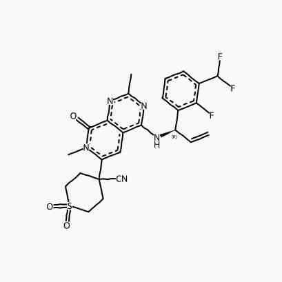 C=C[C@@H](Nc1nc(C)nc2c(=O)n(C)c(C3(C#N)CCS(=O)(=O)CC3)cc12)c1cccc(C(F)F)c1F